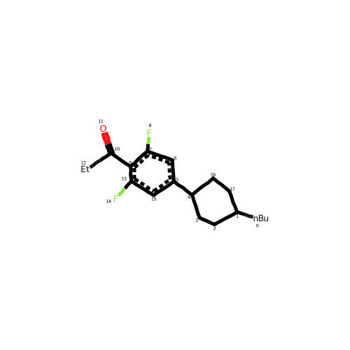 CCCCC1CCC(c2cc(F)c(C(=O)CC)c(F)c2)CC1